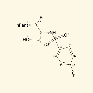 CCCCC[C@H](CC)[C@@H](CO)NS(=O)(=O)c1ccc(Cl)cc1